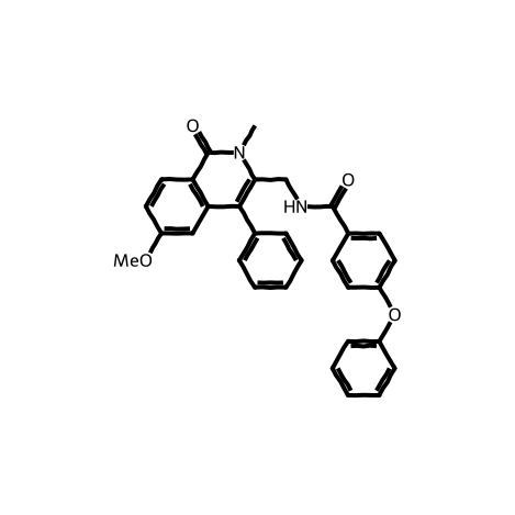 COc1ccc2c(=O)n(C)c(CNC(=O)c3ccc(Oc4ccccc4)cc3)c(-c3ccccc3)c2c1